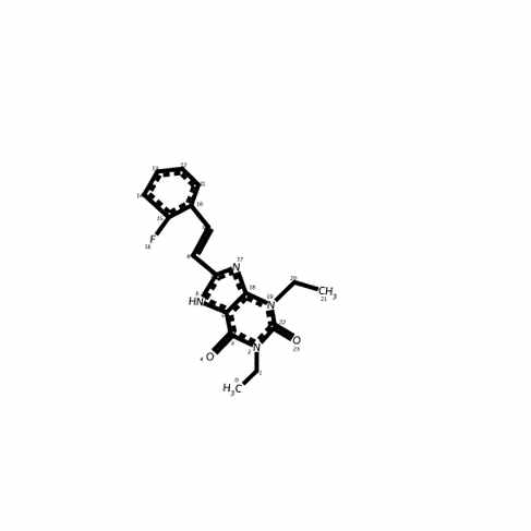 CCn1c(=O)c2[nH]c(C=Cc3ccccc3F)nc2n(CC)c1=O